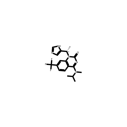 CC(C)N(C)c1nc(=O)n([C@@H](C)c2cnc[nH]2)c2cc(C(F)(F)F)ccc12